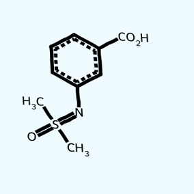 CS(C)(=O)=Nc1cccc(C(=O)O)c1